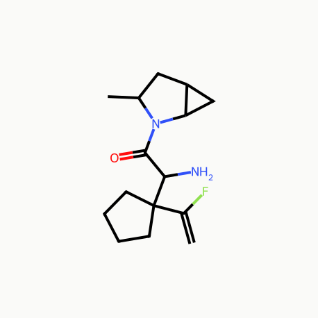 C=C(F)C1(C(N)C(=O)N2C(C)CC3CC32)CCCC1